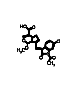 CO[C@@H]1OC=C(C(=O)O)C2CC=C(/C=C3/C(=O)N(C(C)=O)c4cc(Cl)ccc43)C21